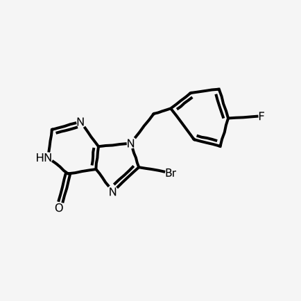 O=c1[nH]cnc2c1nc(Br)n2Cc1ccc(F)cc1